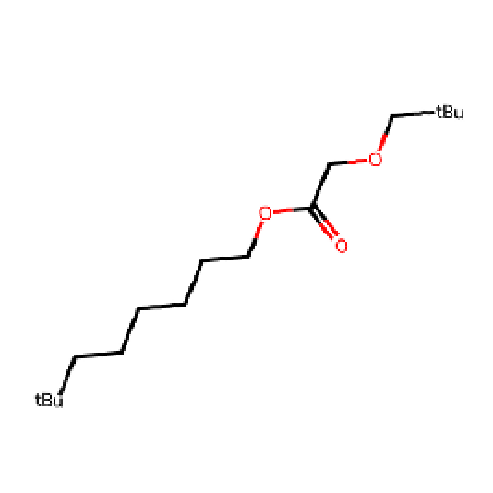 CC(C)(C)CCCCCCOC(=O)COCC(C)(C)C